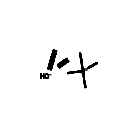 C=C.C=C.C[N+](C)(C)C.[OH-]